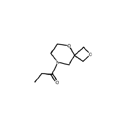 CCC(=O)N1CCOC2(COC2)C1